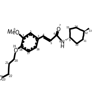 COc1cc(/C=C/C(=O)N[C@H]2CC[C@H](C)CC2)ccc1OCCCCl